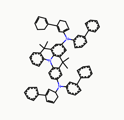 CC1(C)c2ccccc2N2c3ccc(N(c4cccc(-c5ccccc5)c4)C4C=C(c5ccccc5)C=CC4)cc3C(C)(C)c3cc(N(C4=CCCC(C5=CC=CCC5)=C4)c4cccc(-c5ccccc5)c4)cc1c32